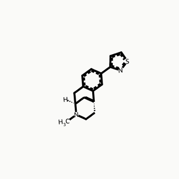 CN1CC[C@@]23CCCCC2[C@@H]1Cc1ccc(-c2ccsn2)cc13